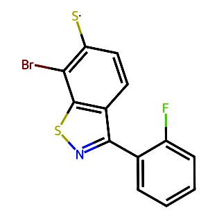 Fc1ccccc1-c1nsc2c(Br)c([S])ccc12